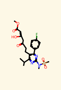 COC(=O)C=C(O)CC(=O)CCc1c(-c2ccc(F)cc2)nc(N(C)S(C)(=O)=O)nc1C(C)C